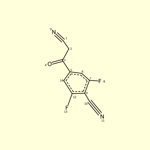 N#CCC(=O)c1cc(F)c(C#N)c(F)c1